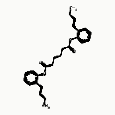 CCCCc1ccccc1OC(=O)CCCCC(=O)Oc1ccccc1CCCC